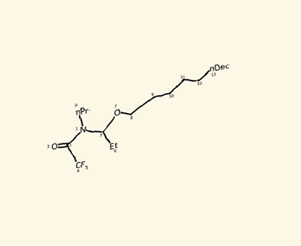 CC[CH]N(C(=O)C(F)(F)F)C(CC)OCCCCCCCCCCCCCCC